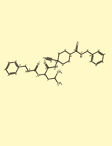 CC(C)CC(OC(=O)NCc1ccccc1)C(=O)NC1(C#N)CCN(C(=O)NCc2ccccc2)CC1